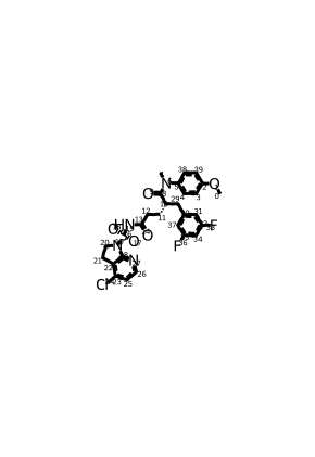 COc1ccc(N(C)C(=O)[C@@H](CCC(=O)NS(=O)(=O)N2CCc3c(Cl)ccnc32)Cc2cc(F)cc(F)c2)cc1